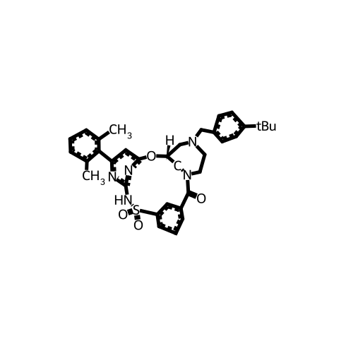 Cc1cccc(C)c1-c1cc2nc(n1)NS(=O)(=O)c1cccc(c1)C(=O)N1CCN(Cc3ccc(C(C)(C)C)cc3)C[C@H](C1)O2